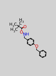 CC(C)(C)C(=O)ONCc1ccc(OCc2ccccc2)cc1